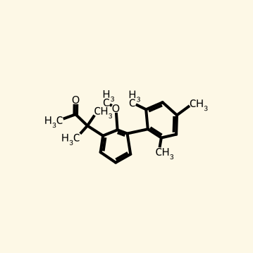 COc1c(-c2c(C)cc(C)cc2C)cccc1C(C)(C)C(C)=O